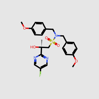 COc1ccc(CN(Cc2ccc(OC)cc2)S(=O)(=O)C[C@](C)(O)c2ncc(F)cn2)cc1